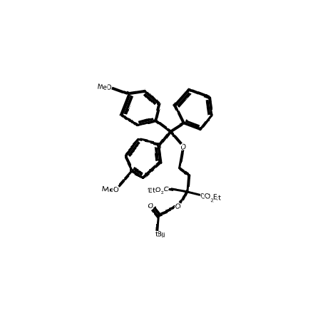 CCOC(=O)C(CCOC(c1ccccc1)(c1ccc(OC)cc1)c1ccc(OC)cc1)(OC(=O)C(C)(C)C)C(=O)OCC